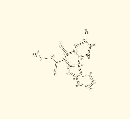 CCOC(=O)c1c(=O)c2cc(Cl)nnc2n2c1sc1ccccc12